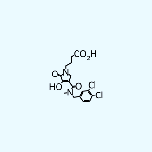 CN(Cc1ccc(Cl)c(Cl)c1)C(=O)C1=C(O)C(=O)N(CCCC(=O)O)C1